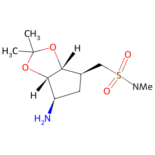 CNS(=O)(=O)C[C@H]1C[C@@H](N)[C@@H]2OC(C)(C)O[C@H]12